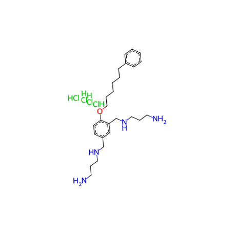 Cl.Cl.Cl.Cl.NCCCNCc1ccc(OCCCCCCc2ccccc2)c(CNCCCN)c1